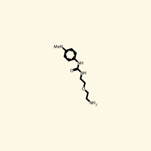 CNc1ccc(NC(=O)NCCOCCN)cc1